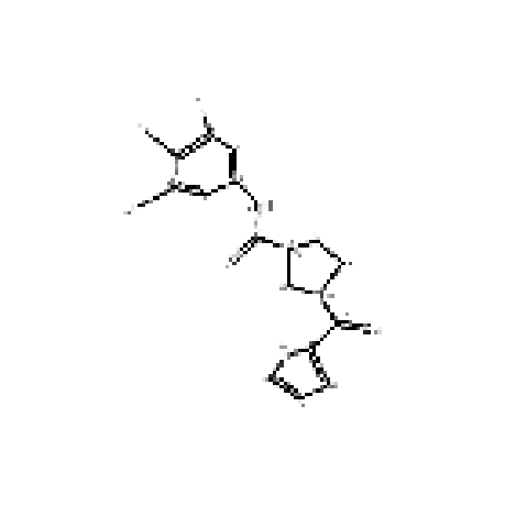 O=C(Nc1cc(F)c(F)c(F)c1)[C@H]1CCN(C(=O)c2ccc[nH]2)C1